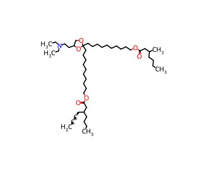 C=C=C=CC(CCCC)CC(=O)OCCCCCCCCCCC1(CCCCCCCCCCOC(=O)CC(C)CCCC)OCC(CCN(CC)CC)O1